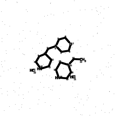 C1CC(CN2CCOCC2)CCN1.CCN1CCNCC1.Cl.Cl